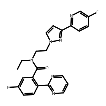 CCN(CCn1ccc(-c2ccc(F)cn2)n1)C(=O)c1cc(F)ccc1-c1ncccn1